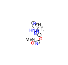 CNC(=O)c1cc(Oc2ccc3c(c2)nc(NCCC2CCCN2C)n3C)ccn1